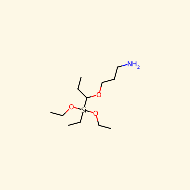 CCO[Si](CC)(OCC)C(CC)OCCCN